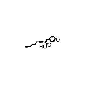 C#CCCCCC#C/C(=C/c1ccc(OC)cc1)C(=O)O